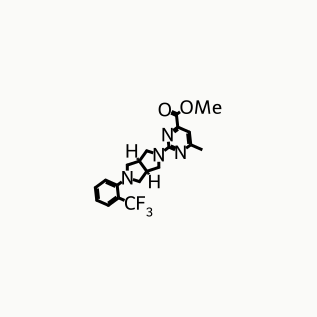 COC(=O)c1cc(C)nc(N2C[C@@H]3CN(c4ccccc4C(F)(F)F)C[C@@H]3C2)n1